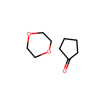 C1COCCO1.O=C1CCCC1